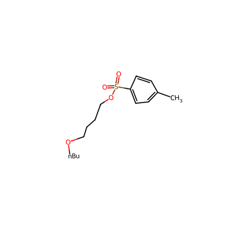 CCCCOCCCCOS(=O)(=O)c1ccc(C)cc1